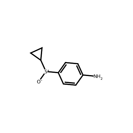 Nc1ccc([S+]([O-])C2CC2)cc1